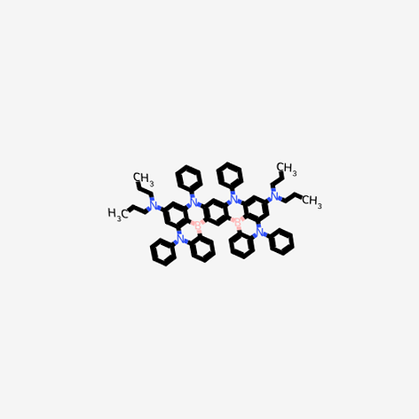 CCCN(CCC)c1cc2c3c(c1)N(c1ccccc1)c1cc4c(cc1B3c1ccccc1N2c1ccccc1)B1c2ccccc2N(c2ccccc2)c2cc(N(CCC)CCC)cc(c21)N4c1ccccc1